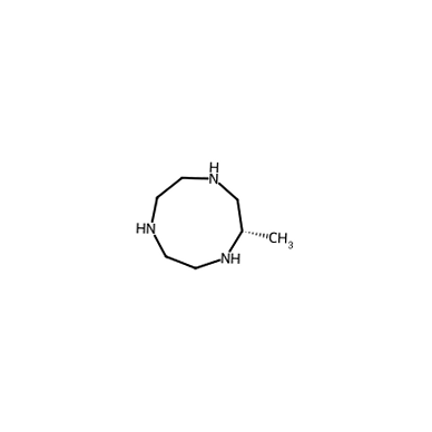 C[C@H]1CNCCNCCN1